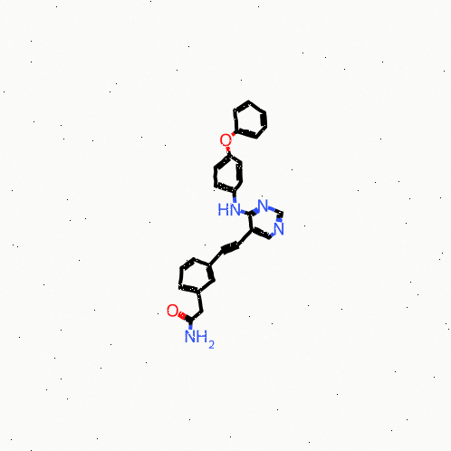 NC(=O)Cc1cccc(C#Cc2cncnc2Nc2ccc(Oc3ccccc3)cc2)c1